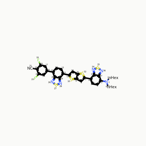 CCCCCCN(CCCCCC)c1ccc(-c2cc3sc(-c4ccc(-c5cc(F)c(C#N)c(F)c5)c5nsnc45)cc3s2)c2nsnc12